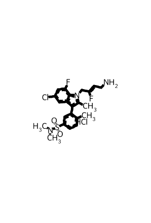 Cc1ccc(S(=O)(=O)N(C)C)cc1-c1c(C)n(CC(F)=CCN)c2c(F)cc(Cl)cc12.Cl